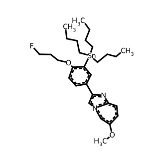 CCC[CH2][Sn]([CH2]CCC)([CH2]CCC)[c]1cc(-c2cn3cc(OC)ccc3n2)ccc1OCCCF